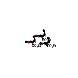 CCOC(=O)/C(C)=C/c1cn(CC(=O)N(C)CCc2ccccc2)c2ccc(OCc3ccccc3)cc12.CCOC(=O)/C(C)=C\c1cn(CC(=O)N(C)CCc2ccccc2)c2ccc(OCc3ccccc3)cc12.CCOC(=O)C(C)=Cc1cn(CC(=O)N(C)CCc2ccccc2)c2ccc(OCc3ccccc3)cc12